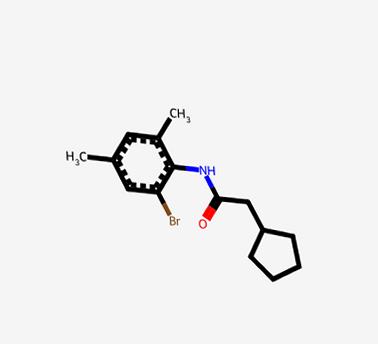 Cc1cc(C)c(NC(=O)CC2CCCC2)c(Br)c1